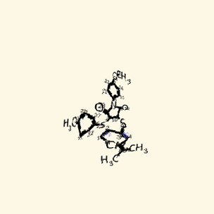 C/C=C\C(=C/C=C(C)C)SC1C(=O)N(c2ccc(OC)cc2)C(=O)C1Sc1ccc(C)cc1